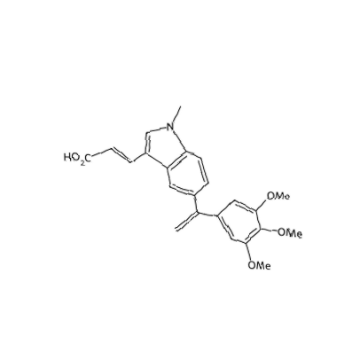 C=C(c1cc(OC)c(OC)c(OC)c1)c1ccc2c(c1)c(C=CC(=O)O)cn2C